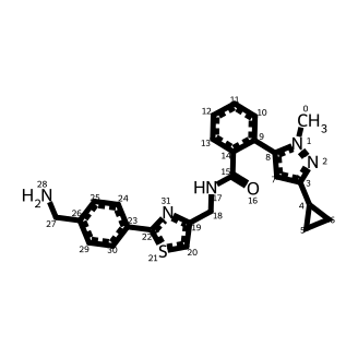 Cn1nc(C2CC2)cc1-c1ccccc1C(=O)NCc1csc(-c2ccc(CN)cc2)n1